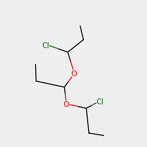 CCC(Cl)OC(CC)OC(Cl)CC